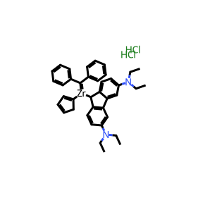 CCN(CC)c1ccc2c(c1)-c1cc(N(CC)CC)ccc1[CH]2[Zr]([C]1=CC=CC1)=[C](c1ccccc1)c1ccccc1.Cl.Cl